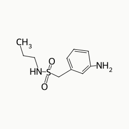 CCCNS(=O)(=O)Cc1cccc(N)c1